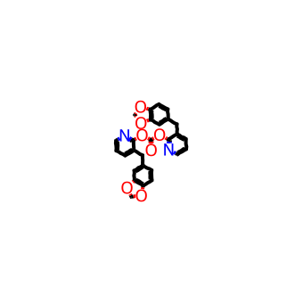 O=C(Oc1ncccc1Cc1ccc2c(c1)OCO2)Oc1ncccc1Cc1ccc2c(c1)OCO2